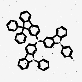 Fc1ccc(-n2c3ccccc3c3cc(N(c4ccc5c(c4)C(c4ccccc4)(c4ccccc4)c4ccccc4-5)c4ccc5c6ccccc6n(-c6ccccc6)c5c4)ccc32)cc1